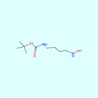 CC(C)(C)OC(=O)NCCCCNO